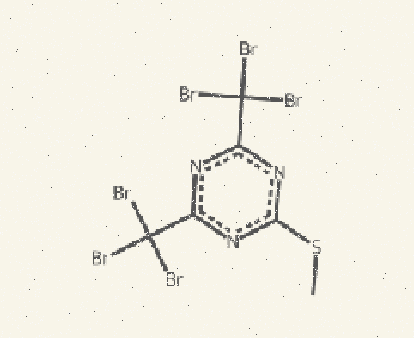 CSc1nc(C(Br)(Br)Br)nc(C(Br)(Br)Br)n1